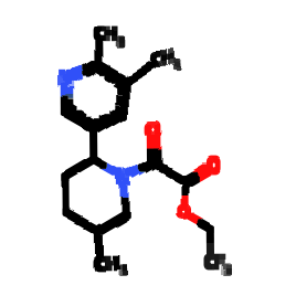 Cc1cc(C2CCC(C)CN2C(=O)C(=O)OCC(F)(F)F)cnc1C